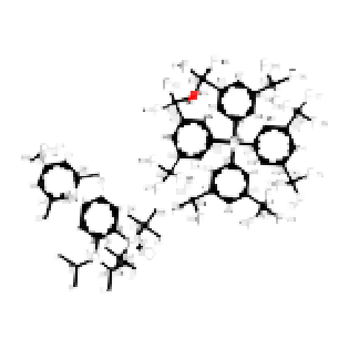 CC(C)P(c1ccccc1P(=O)(C(C)(C)C)C(C)(C)C)C(C)C.Cc1cccc(C)n1.FC(F)(F)c1cc([B-](c2cc(C(F)(F)F)cc(C(F)(F)F)c2)(c2cc(C(F)(F)F)cc(C(F)(F)F)c2)c2cc(C(F)(F)F)cc(C(F)(F)F)c2)cc(C(F)(F)F)c1.[CH3][Pd+]